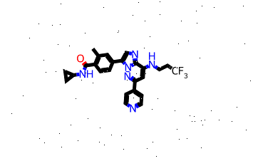 Cc1cc(-c2cnc3c(NCCC(F)(F)F)cc(-c4ccncc4)nn23)ccc1C(=O)NC1CC1